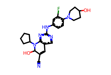 N#CC1=Cc2cnc(Nc3ccc(N4CCC(O)CC4)c(F)c3)nc2N(C2CCCC2)C1O